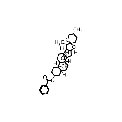 C[C@H]1CC[C@@]2(OC1)O[C@H]1C[C@H]3[C@@H]4CC[C@@H]5C[C@@H](OC(=O)c6ccccc6)CC[C@]5(C)[C@H]4CC[C@]3(C)[C@H]1[C@@H]2C